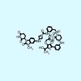 C=C(O)c1sc(-c2cccc(N[C@H]3CCN(S(=O)(=O)Cc4cccc(NC(=O)N5CC(Nc6ccc7c(c6)n(C)c(=O)n7C6CCC(=O)NC6=O)C5)c4)C(C)(C)C3)c2)c(Cl)c1OCC(=O)O